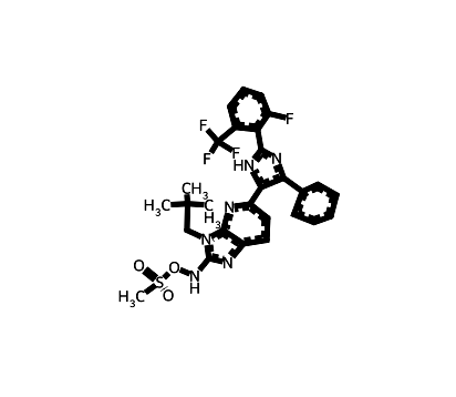 CC(C)(C)Cn1c(NOS(C)(=O)=O)nc2ccc(-c3[nH]c(-c4c(F)cccc4C(F)(F)F)nc3-c3ccccc3)nc21